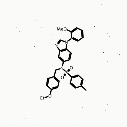 CCOc1ccc(CN(c2ccc3c(c2)ncn3-c2ccccc2OC)S(=O)(=O)c2ccc(C)cc2)cc1